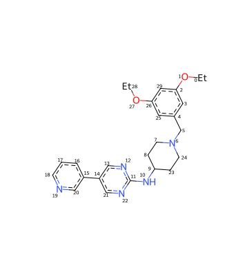 CCOc1cc(CN2CCC(Nc3ncc(-c4cccnc4)cn3)CC2)cc(OCC)c1